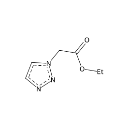 CCOC(=O)Cn1ccnn1